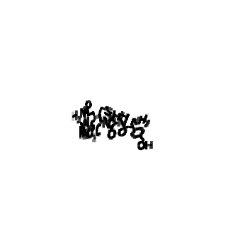 NC(=O)CCC(Sc1nnn[nH]1)C1=C(C(=O)O)N2C(=O)C(NC(=O)C(N)c3ccc(CO)cc3)[C@@H]2SC1